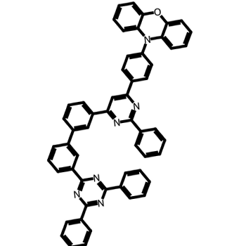 c1ccc(-c2nc(-c3ccc(N4c5ccccc5Oc5ccccc54)cc3)cc(-c3cccc(-c4cccc(-c5nc(-c6ccccc6)nc(-c6ccccc6)n5)c4)c3)n2)cc1